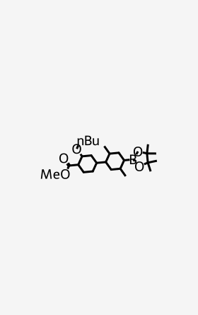 CCCCOC1CC(C2CC(C)C(B3OC(C)(C)C(C)(C)O3)CC2C)CCC1C(=O)OC